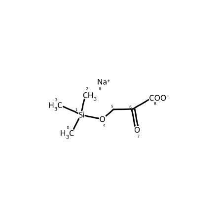 C[Si](C)(C)OCC(=O)C(=O)[O-].[Na+]